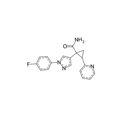 NC(=O)C1(c2cnn(-c3ccc(F)cc3)c2)CC1c1ccccn1